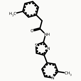 Cc1cccc(CC(=O)Nc2nc(-c3ccnc(C)c3)cs2)c1